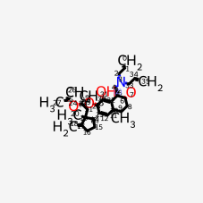 C=CCN(/C=C1\C(=O)CCC2(C)C=C([C@@H]3CCC(=C)C3(C)C[C@H](C)OC(=C)C)C(=O)C(O)=C12)CC=C